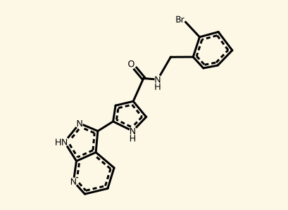 O=C(NCc1ccccc1Br)c1c[nH]c(-c2n[nH]c3ncccc23)c1